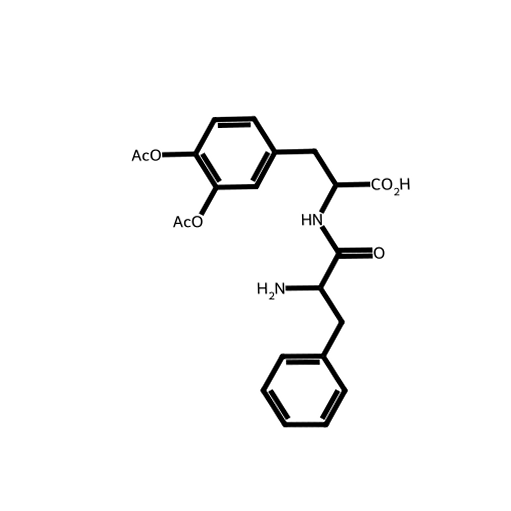 CC(=O)Oc1ccc(CC(NC(=O)C(N)Cc2ccccc2)C(=O)O)cc1OC(C)=O